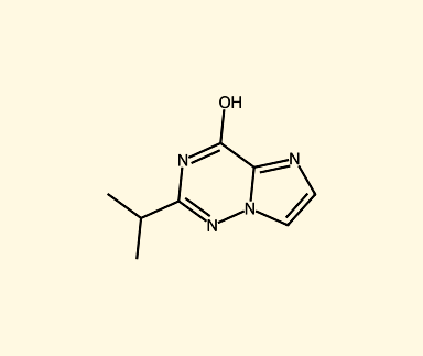 CC(C)c1nc(O)c2nccn2n1